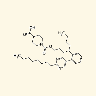 CCCCCCCCc1ncc(-c2ccccc2C(CCCC)CCCOC(=O)N2CCC(C(=O)O)CC2)cn1